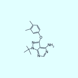 Cc1ccc(Oc2nn(C(C)(C)C)c3ncnc(N)c23)cc1C